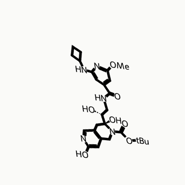 COc1cc(C(=O)NC[C@@H](O)[C@@]2(O)Cc3cnc(O)cc3CN2C(=O)OC(C)(C)C)cc(NC2CCC2)n1